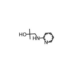 CC(C)(O)CNc1ccccn1